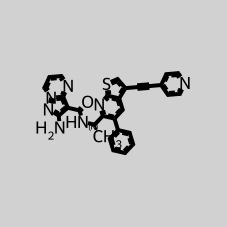 C[C@@H](NC(=O)c1c(N)nn2cccnc12)c1nc2scc(C#Cc3ccncc3)c2cc1-c1ccccc1